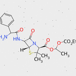 CCOC(=O)OC(C)OC(=O)[C@@H]1N2C(=O)C(NC(=O)C(N)c3ccccc3)[C@H]2SC1(C)C